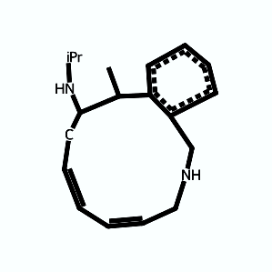 CC(C)NC1C/C=C\C=C/CNCc2ccccc2C1C